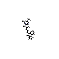 C=C(C)/C=C\C(=C/C)NC(=O)CCCN1C(=O)C2=CCCN2C2=CCCN=C21